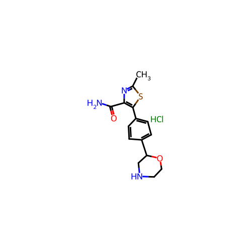 Cc1nc(C(N)=O)c(-c2ccc(C3CNCCO3)cc2)s1.Cl